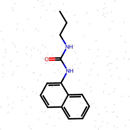 CCCNC(=O)Nc1cccc2ccccc12